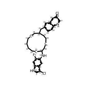 Fc1cc2[nH]cc(Cl)c2cc1NC1CCCCCCCC(Cc2ccc3ncc(Cl)cc3c2)CCCC1